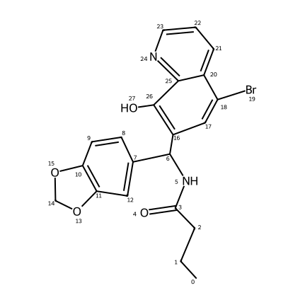 CCCC(=O)NC(c1ccc2c(c1)OCO2)c1cc(Br)c2cccnc2c1O